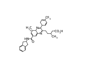 CC(CCC1=NC2=CC(C(=O)NC3Cc4ccccc4C3)=C[C@H](C)C2N=C1C1C=CC(C(F)(F)F)=CC1)CC(=O)O